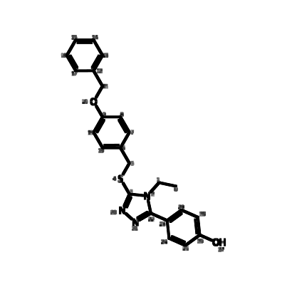 CCn1c(SCc2ccc(OCc3ccccc3)cc2)nnc1-c1ccc(O)cc1